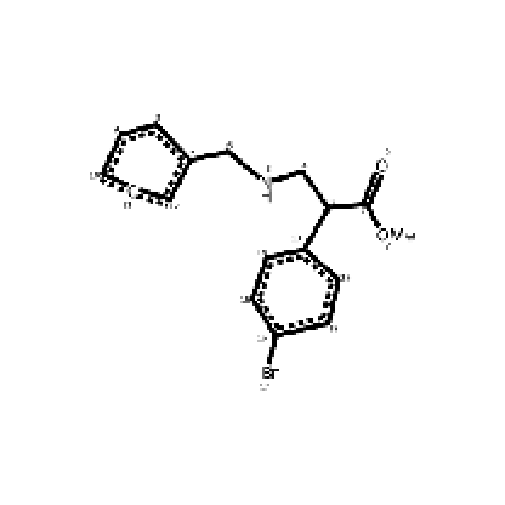 COC(=O)C(CNCc1ccccc1)c1ccc(Br)cc1